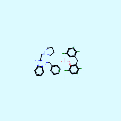 Clc1ccc(Cn2c(CN3CCCC3)nc3ccccc32)cc1.Oc1c(Cl)cc(Cl)c(Cl)c1Cc1c(O)c(Cl)cc(Cl)c1Cl